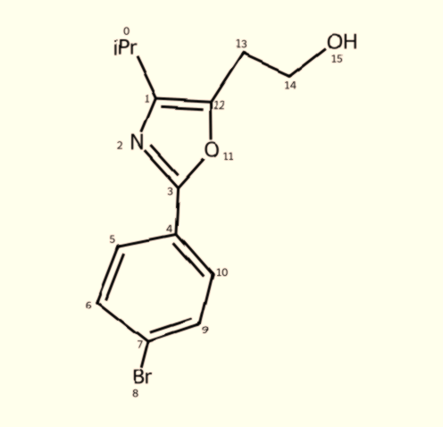 CC(C)c1nc(-c2ccc(Br)cc2)oc1CCO